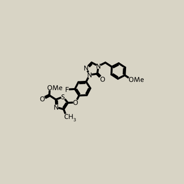 COC(=O)c1nc(C)c(Oc2ccc(-n3ncn(Cc4ccc(OC)cc4)c3=O)cc2F)s1